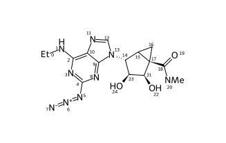 CCNc1nc(N=[N+]=[N-])nc2c1ncn2[C@@H]1C2C[C@]2(C(=O)NC)[C@@H](O)[C@H]1O